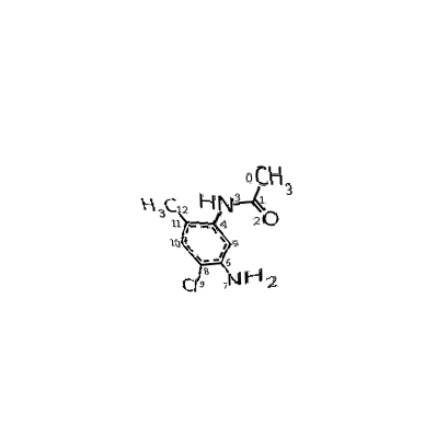 CC(=O)Nc1cc(N)c(Cl)cc1C